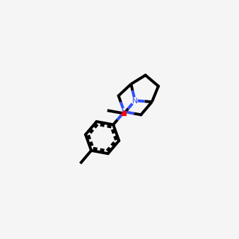 CCN1C2CCC1CN(c1ccc(C)cc1)C2